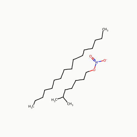 CC(C)CCCCCO[N+](=O)[O-].CCCCCCCCCCCCCCCC